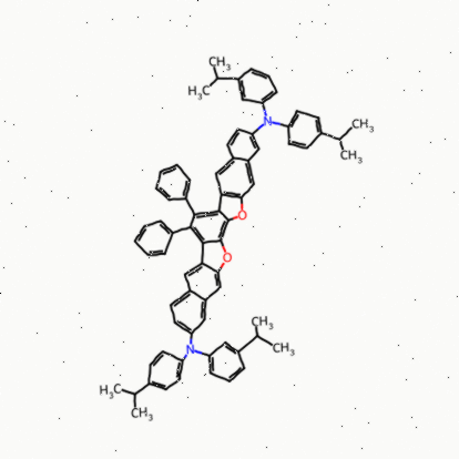 CC(C)c1ccc(N(c2cccc(C(C)C)c2)c2ccc3cc4c(cc3c2)oc2c3oc5cc6cc(N(c7ccc(C(C)C)cc7)c7cccc(C(C)C)c7)ccc6cc5c3c(-c3ccccc3)c(-c3ccccc3)c42)cc1